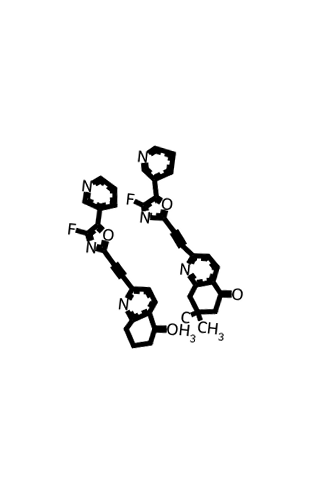 CC1(C)CC(=O)c2ccc(C#Cc3nc(F)c(-c4cccnc4)o3)nc2C1.O=C1CCCc2nc(C#Cc3nc(F)c(-c4cccnc4)o3)ccc21